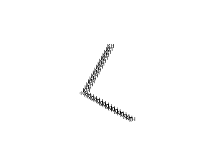 [KH].[KH].[KH].[KH].[KH].[KH].[KH].[KH].[KH].[KH].[KH].[KH].[KH].[KH].[KH].[KH].[KH].[KH].[KH].[KH].[KH].[KH].[KH].[KH].[KH].[KH].[KH].[KH].[KH].[KH].[KH].[KH].[KH]